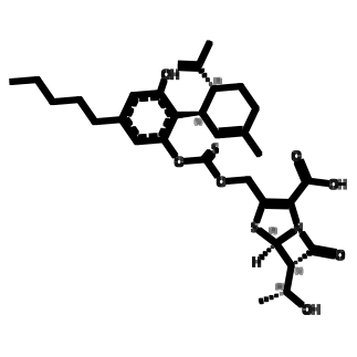 C=C(C)[C@@H]1CCC(C)=C[C@H]1c1c(O)cc(CCCCC)cc1OC(=S)OCC1=C(C(=O)O)N2C(=O)[C@H]([C@@H](C)O)[C@H]2S1